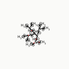 COC(=O)CCN(CCNC(=O)CCN(CCC(=O)NCCN(CCC(=O)OC)CCC(=O)OC)CCN(CCC(=O)NCCN(CCC(=O)OC)CCC(=O)OC)CCC(=O)NCCN(CCC(=O)OC)CCC(=O)OC)CCC(=O)OC